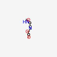 COc1ccc(C(=O)CCCN2CCC(c3cccc(NC(=O)C(C)C)c3)CC2)cc1